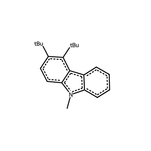 Cn1c2ccccc2c2c(C(C)(C)C)c(C(C)(C)C)ccc21